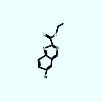 CCOC(=O)c1ncc2cc(Br)ccc2n1